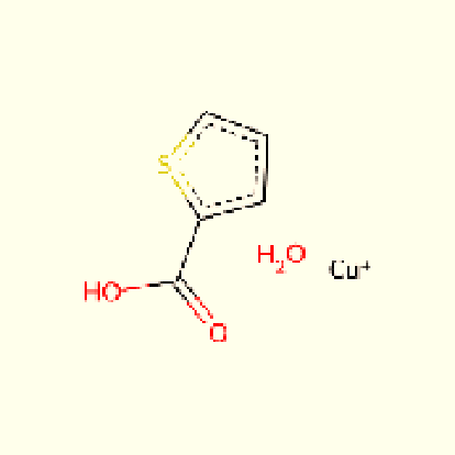 O.O=C(O)c1cccs1.[Cu+]